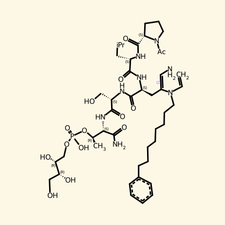 C=CN(CCCCCCCCc1ccccc1)/C(=C\N)C[C@H](NC(=O)[C@H](CC(C)C)NC(=O)[C@@H]1CCCN1C(C)=O)C(=O)N[C@@H](CO)C(=O)N[C@H](C(N)=O)[C@@H](C)OP(=O)(O)OC[C@@H](O)[C@H](O)CO